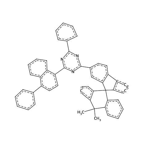 CC1(C)c2ccccc2C2(c3ccccc3-c3ccc(-c4nc(-c5ccccc5)nc(-c5ccc(-c6ccccc6)c6ccccc56)n4)cc32)c2ccccc21